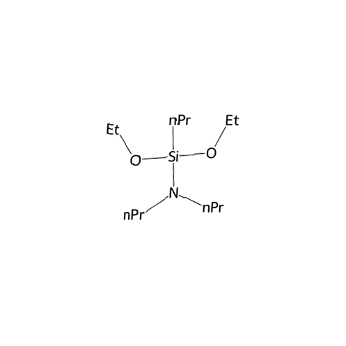 CCCN(CCC)[Si](CCC)(OCC)OCC